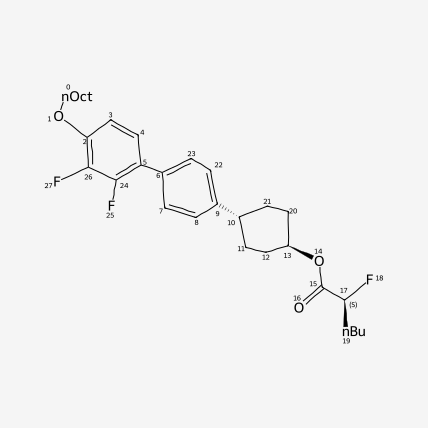 CCCCCCCCOc1ccc(-c2ccc([C@H]3CC[C@H](OC(=O)[C@@H](F)CCCC)CC3)cc2)c(F)c1F